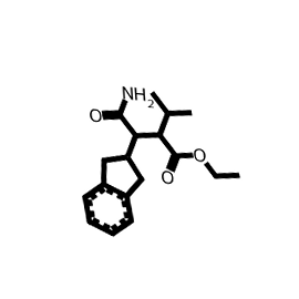 CCOC(=O)C(C(C)C)C(C(N)=O)C1Cc2ccccc2C1